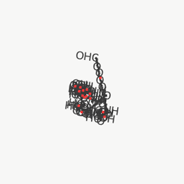 O=CCCCOCCOCCOCCOCCNC(=O)C(CCCCNC(=O)OC(=O)C(O)(P(=O)(O)O)P(=O)(O)O)NC(=O)C(CCCCNC(=O)OC(=O)C(O)(P(=O)(O)O)P(=O)(O)O)NC(=O)C(CCCCNC(=O)OC(=O)C(O)(P(=O)(O)O)P(=O)(O)O)NC(=O)OC(=O)C(O)(P(=O)(O)O)P(=O)(O)O